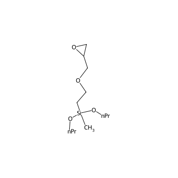 CCCO[Si](C)(CCOCC1CO1)OCCC